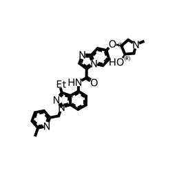 CCc1nn(Cc2cccc(C)n2)c2cccc(NC(=O)c3cnc4cc(O[C@H]5CN(C)C[C@H]5O)ccn34)c12